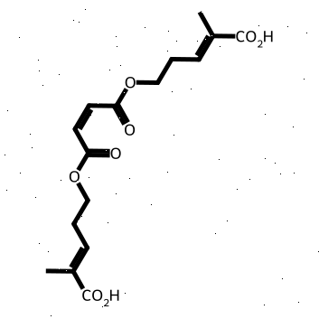 CC(=CCCOC(=O)/C=C\C(=O)OCCC=C(C)C(=O)O)C(=O)O